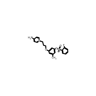 Cc1cc(OCCC[n+]2ccc(N)cc2)cc(OS(=O)(=O)c2ccccc2F)c1